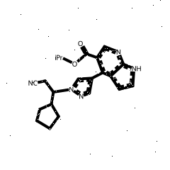 CC(C)OC(=O)c1cnc2[nH]ccc2c1-c1cnn(C(CC#N)C2CCCC2)c1